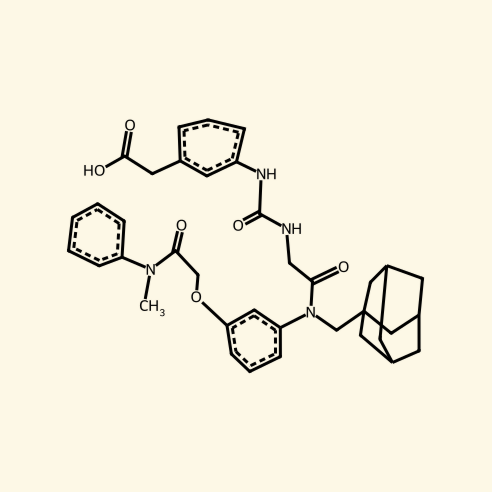 CN(C(=O)COc1cccc(N(CC23CC4CC(CC(C4)C2)C3)C(=O)CNC(=O)Nc2cccc(CC(=O)O)c2)c1)c1ccccc1